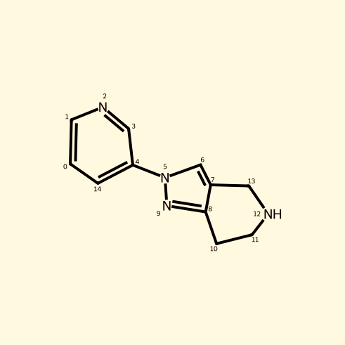 c1cncc(-n2cc3c(n2)CCNC3)c1